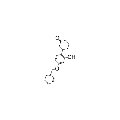 O=C1CCCC(c2ccc(OCc3ccccc3)cc2O)C1